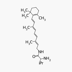 CC1=C(/C=C/C(C)=C/C=C/C(C)=C/CNC(=O)C(N)C(C)C)C(C)(C)CCC1